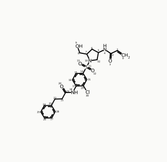 C=CC(=O)NC1CC(CO)N(S(=O)(=O)c2ccc(NC(=O)CCc3ccccc3)c(Cl)c2)C1